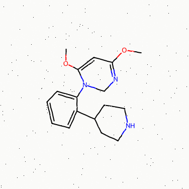 COC1=CC(OC)=NCN1c1ccccc1C1CCNCC1